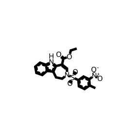 CCOC(=O)C1=CN(S(=O)(=O)c2ccc(C)c([N+](=O)[O-])c2)CCc2c1[nH]c1ccccc21